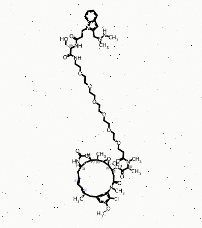 CNN(C)Cc1cc2ccccc2n1CCC(=O)N[C@@H](CO)C(=O)NCCOCCOCCOCCOCCOCCOCCC(=O)N(C)[C@@H](C)C(=O)O[C@H]1CC(=O)N(C)c2cc(cc(OC)c2Cl)C/C(C)=C/C=C/C[C@H]2C[C@H](OC(=O)N2)[C@@H](C)C2O[C@]21C